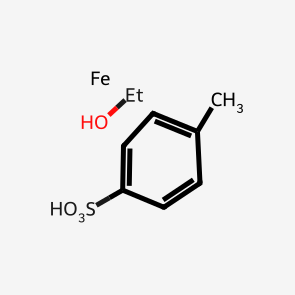 CCO.Cc1ccc(S(=O)(=O)O)cc1.[Fe]